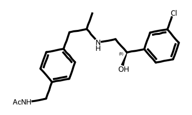 CC(=O)NCc1ccc(CC(C)NC[C@H](O)c2cccc(Cl)c2)cc1